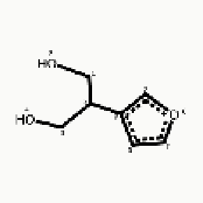 OCC(CO)c1ccoc1